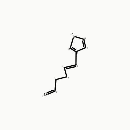 O=CCC/C=C/c1ccsc1